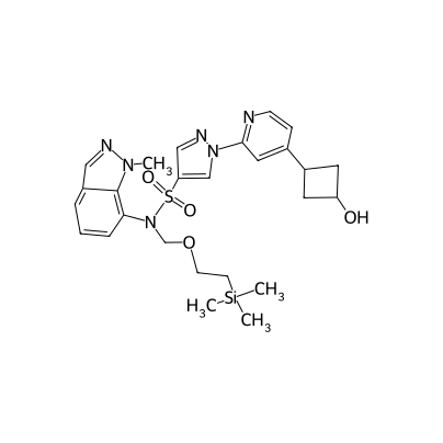 Cn1ncc2cccc(N(COCC[Si](C)(C)C)S(=O)(=O)c3cnn(-c4cc(C5CC(O)C5)ccn4)c3)c21